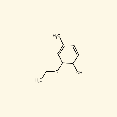 CCOC1C=C(C)C=C[C]1O